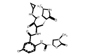 C[C@@H]1C[C@@H](CC(NC(=O)c2cc(Cl)ccc2NC(=O)[C@@H]2CN(C)C(=O)O2)C(=O)C(=O)NC2CC2)C(=O)N1